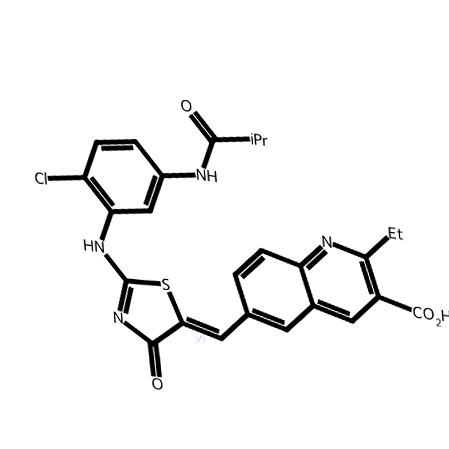 CCc1nc2ccc(/C=C3\SC(Nc4cc(NC(=O)C(C)C)ccc4Cl)=NC3=O)cc2cc1C(=O)O